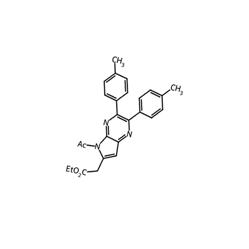 CCOC(=O)Cc1cc2nc(-c3ccc(C)cc3)c(-c3ccc(C)cc3)nc2n1C(C)=O